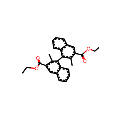 CCOC(=O)c1cc2ccccc2c(-c2c(C)c(C(=O)OCC)cc3ccccc23)c1C